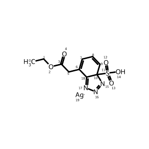 CCOC(=O)CC1=CC=CC2(S(=O)(=O)O)N=NN=C12.[Ag]